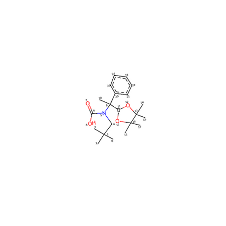 CC(C)(C)CN(C(=O)O)C(C)(B1OC(C)(C)C(C)(C)O1)c1ccccc1